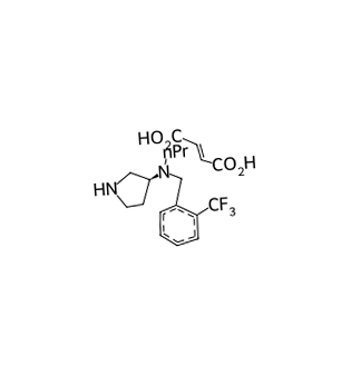 CCCN(Cc1ccccc1C(F)(F)F)[C@H]1CCNC1.O=C(O)C=CC(=O)O